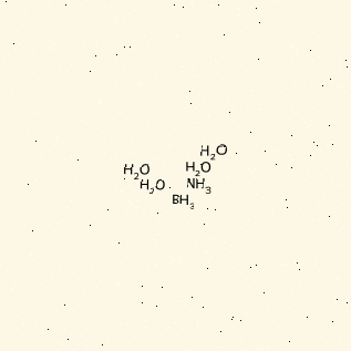 B.N.O.O.O.O